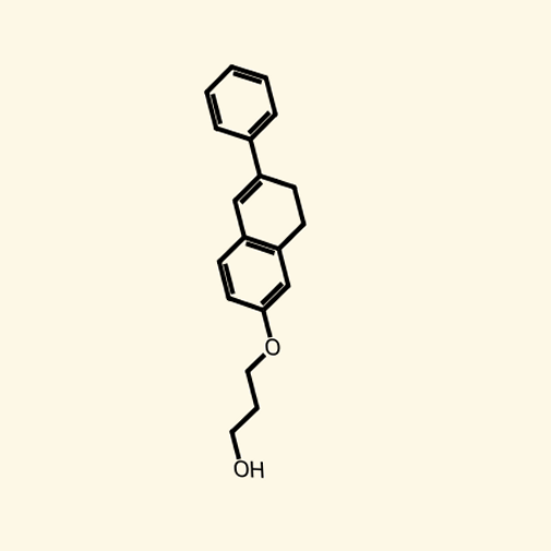 OCCCOc1ccc2c(c1)CCC(c1ccccc1)=C2